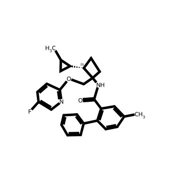 Cc1ccc(-c2ccccc2)c(C(=O)NC2(COc3ccc(F)cn3)CC[C@H]2C2CC2C)c1